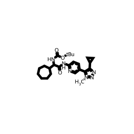 Cn1nnc(C2CC2)c1-c1ccc(NC(=O)C(NC(=O)OC(C)(C)C)C2CCCCCC2)nc1